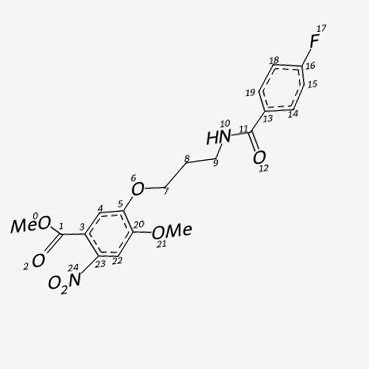 COC(=O)c1cc(OCCCNC(=O)c2ccc(F)cc2)c(OC)cc1[N+](=O)[O-]